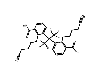 C#CCCCCc1c(C(=O)O)cccc1C(c1cccc(C(=O)O)c1CCCCC#C)(C(F)(F)F)C(F)(F)F